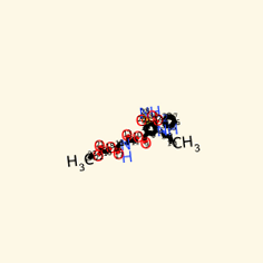 CCCCNc1cc(C(=O)OCC(=O)NCC(=O)OCC(=O)OCC)cc(S(N)(=O)=O)c1Oc1ccccc1